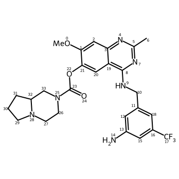 COc1cc2nc(C)nc(NCc3cc(N)cc(C(F)(F)F)c3)c2cc1OC(=O)N1CCN2CCCC2C1